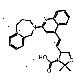 CC1(C)OCC(/C=C/c2cc(N3CCCc4ccccc4C3)nc3ccccc23)N1C(=O)O